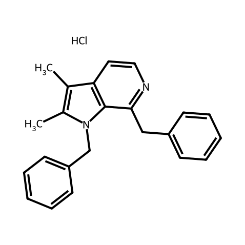 Cc1c(C)n(Cc2ccccc2)c2c(Cc3ccccc3)nccc12.Cl